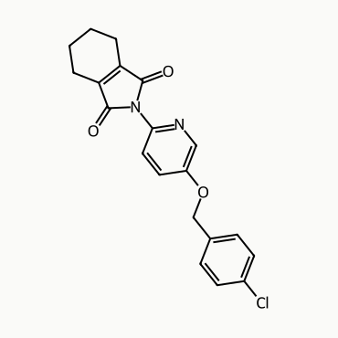 O=C1C2=C(CCCC2)C(=O)N1c1ccc(OCc2ccc(Cl)cc2)cn1